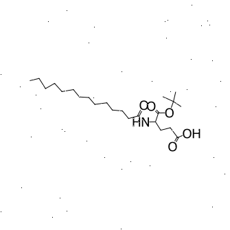 CCCCCCCCCCCCCC(=O)NC(CCC(=O)O)C(=O)OC(C)(C)C